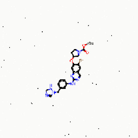 CC(C)(C)OC(=O)N1CCC(Oc2cc3nc(Nc4cccc(CN5C=NCN5)c4)ncc3cc2Br)C1